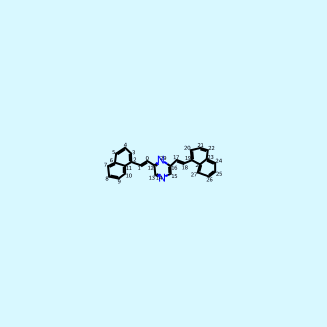 C(=Cc1cccc2ccccc12)c1cncc(C=Cc2cccc3ccccc23)n1